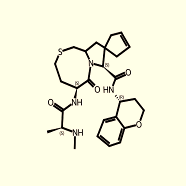 CN[C@@H](C)C(=O)N[C@H]1CCSCC2CC3(CC=CC3)[C@@H](C(=O)N[C@@H]3CCOc4ccccc43)N2C1=O